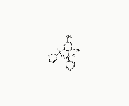 Cc1cc(O)c(S(=O)(=O)c2ccccc2)c(S(=O)(=O)c2ccccc2)c1